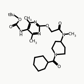 Cc1nc(OCC(=O)N(C)C2CCN(C(=O)C3CCCCC3)CC2)nc(C)c1NC(=O)OC(C)(C)C